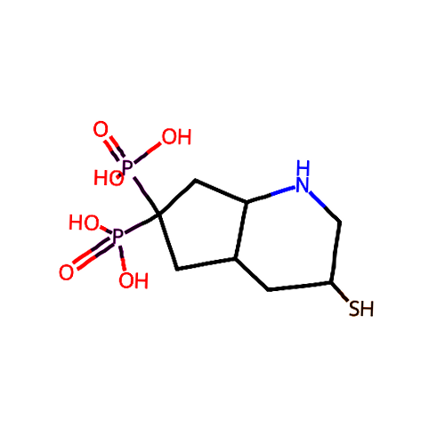 O=P(O)(O)C1(P(=O)(O)O)CC2CC(S)CNC2C1